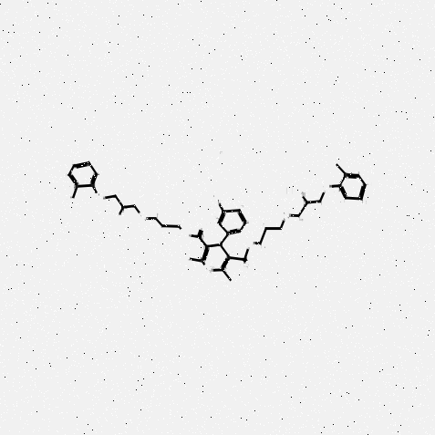 CC1=C(C(=O)OCCCNCC(O)COc2ccccc2C)C(c2cccc([N+](=O)[O-])c2)C(C(=O)OCCCNCC(O)COc2ccccc2C)=C(C)N1.Cl